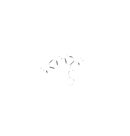 CN(C)C(=O)c1ccc(Nc2cc(NCC3CCCC3)c(C(N)=O)cn2)cc1